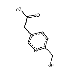 O=C(O)Cc1ccc(CO)nc1